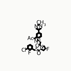 CC(=O)c1nn(CC(=O)N2C[C@H](F)C[C@H]2C(=O)SCc2cccc(Cl)c2F)c2ccc(-c3cnc(C)nc3)cc12